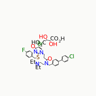 CCN(CC)CCN(Cc1ccc(-c2ccc(Cl)cc2)cc1)C(=O)CCn1cc(Br)c(=O)nc1SCc1ccc(F)cc1.O=C(O)C(O)C(O)C(=O)O